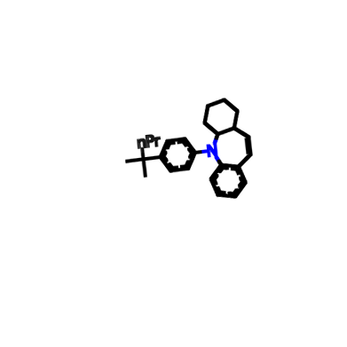 CCCC(C)(C)c1ccc(N2c3ccccc3C=CC3CCCCC32)cc1